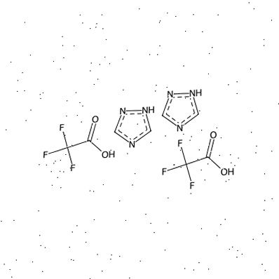 O=C(O)C(F)(F)F.O=C(O)C(F)(F)F.c1nc[nH]n1.c1nc[nH]n1